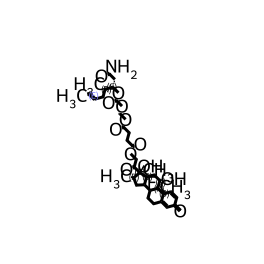 C/C=C/C[C@@H](C)[C@H](CC(N)=O)OC(=O)OCOC(=O)CCC(=O)OCC(=O)[C@@]1(O)[C@H](C)CC2C3CCC4=CC(=O)C=C[C@]4(C)[C@@]3(F)[C@@H](O)C[C@@]21C